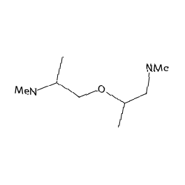 CNCC(C)OCC(C)NC